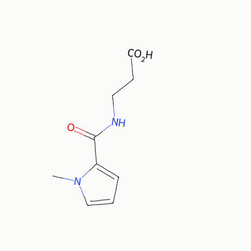 Cn1cccc1C(=O)NCCC(=O)O